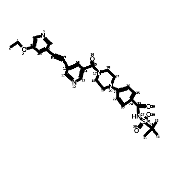 CCOc1cncc(C#Cc2cncc(C(=O)N3CCN(c4ccc(C(=O)NS(=O)(=O)C(C)(C)C)cc4)CC3)c2)c1